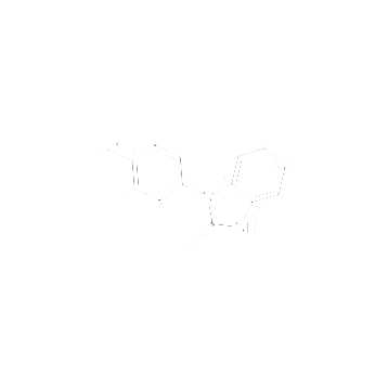 O=c1[nH]c2ccccc2n1-c1ccc(Cl)cc1